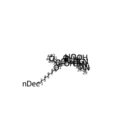 CCCCCCCCCCCCCCCCCCCOC[C@H](COP(=O)(O)OC[C@H]1O[C@@](C#N)(c2ccc3c(C)ncnn23)[C@H](O)[C@@H]1O)OCc1ccccc1